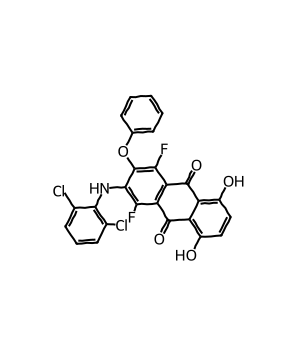 O=C1c2c(O)ccc(O)c2C(=O)c2c(F)c(Oc3ccccc3)c(Nc3c(Cl)cccc3Cl)c(F)c21